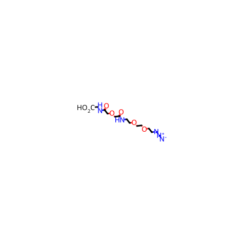 [N-]=[N+]=NCCOCCOCCNC(=O)COCC(=O)NCC(=O)O